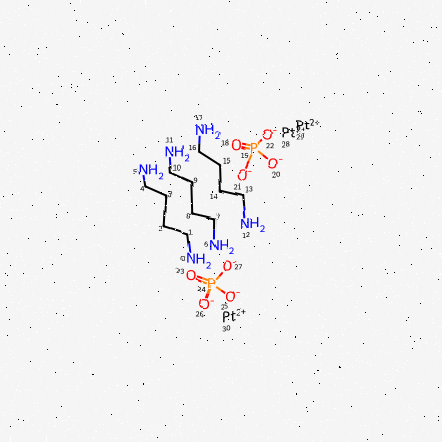 NCCCCN.NCCCCN.NCCCCN.O=P([O-])([O-])[O-].O=P([O-])([O-])[O-].[Pt+2].[Pt+2].[Pt+2]